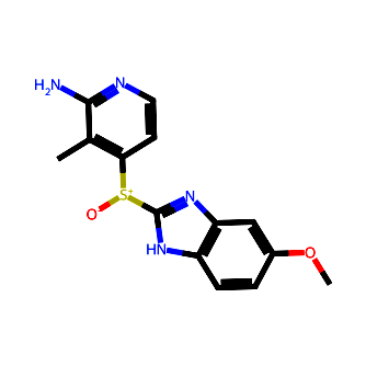 COc1ccc2[nH]c([S+]([O-])c3ccnc(N)c3C)nc2c1